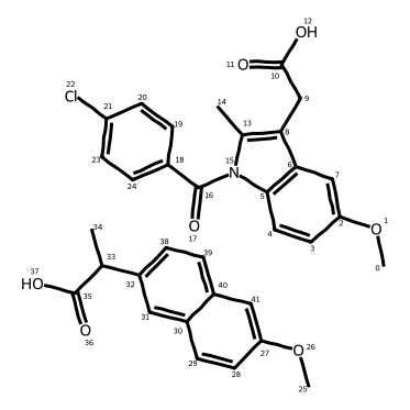 COc1ccc2c(c1)c(CC(=O)O)c(C)n2C(=O)c1ccc(Cl)cc1.COc1ccc2cc(C(C)C(=O)O)ccc2c1